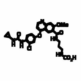 COc1cc2nccc(Oc3ccc(NC(=O)NC4CC4)c(Cl)c3)c2cc1C(=O)NCCCNC(=O)O